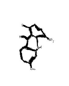 COc1ccc2c(=O)c3c(Cl)ccc([N+](=O)[O-])c3[nH]c2c1